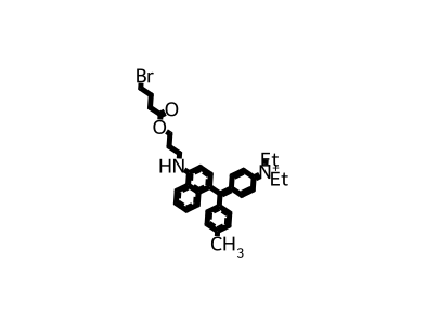 CC[N+](CC)=C1C=CC(=C(c2ccc(C)cc2)c2ccc(NCCCOC(=O)CCCBr)c3ccccc23)C=C1